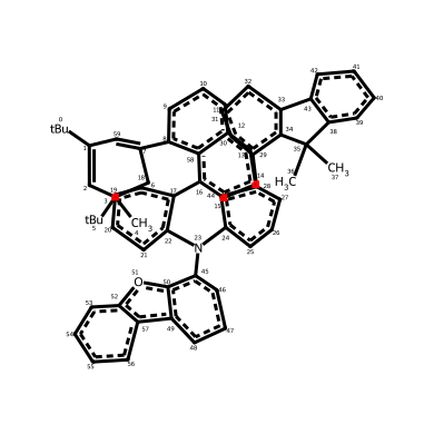 CC(C)(C)C1=CC(C)(C(C)(C)C)CC(c2cccc3cccc(-c4ccccc4N(c4cccc(-c5cccc6c5C(C)(C)c5ccccc5-6)c4)c4cccc5c4oc4ccccc45)c23)=C1